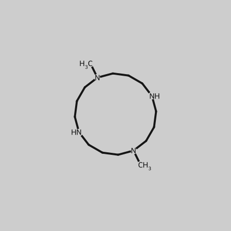 CN1CCCNCCCN(C)CCCNCCC1